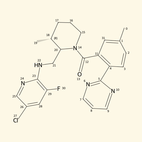 Cc1ccc(-c2ncccn2)c(C(=O)N2CCC[C@@H](C)C2CNc2ncc(Cl)cc2F)c1